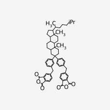 CC(C)CCCC(C)C1CCC2C3CCC4CC(c5ccc(Cc6ccc7c(c6)C(=O)OC7=O)cc5)(c5cccc(Cc6ccc7c(c6)C(=O)OC7=O)c5)CCC4(C)C3CCC12C